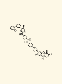 O=C1CC[C@@H](Nc2ccc(N3CCN(C4CCC(NC(=O)[C@H]5CC[C@H](Nc6ncc(F)c(-c7cccc(-n8ccccc8=O)c7)n6)CC5)CC4)CC3)c(F)c2)C(=O)N1